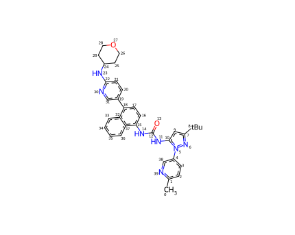 Cc1ccc(-n2nc(C(C)(C)C)cc2NC(=O)Nc2ccc(-c3ccc(NC4CCOCC4)nc3)c3ccccc23)cn1